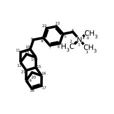 C[N+](C)(C)Cc1ccc(CC2CC3CC2C2C4C=CC(C4)C32)cc1